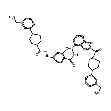 NCc1cccc(C2CCN(C(=O)C=Cc3ccc4c(c3)OB(c3cccc5[nH]c(C(=O)N6CCC(c7cccc(CN)c7)CC6)cc35)NC4=O)CC2)c1